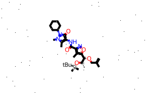 C=C(C)CO[C@@H](c1onc(C(=O)Nc2c(C)n(C)n(C3CCCCC3)c2=O)c1C)[C@H](C)O[Si](C)(C)C(C)(C)C